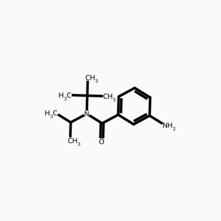 CC(C)N(C(=O)c1cccc(N)c1)C(C)(C)C